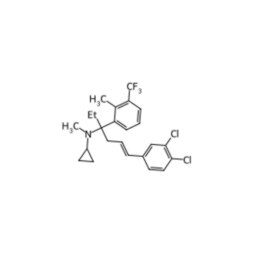 CCC(CC=Cc1ccc(Cl)c(Cl)c1)(c1cccc(C(F)(F)F)c1C)N(C)C1CC1